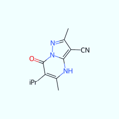 Cc1nn2c(=O)c(C(C)C)c(C)[nH]c2c1C#N